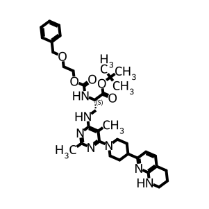 Cc1nc(NC[C@H](NC(=O)OCCOCc2ccccc2)C(=O)OC(C)(C)C)c(C)c(N2CCC(c3ccc4c(n3)NCCC4)CC2)n1